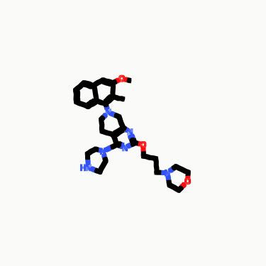 COc1cc2ccccc2c(N2CCc3c(nc(OCCCN4CCOCC4)nc3N3CCNCC3)C2)c1C